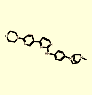 CN1CC2CC1CN2c1ccc(Nc2nccc(-c3ccc(N4CCOCC4)nc3)n2)cc1